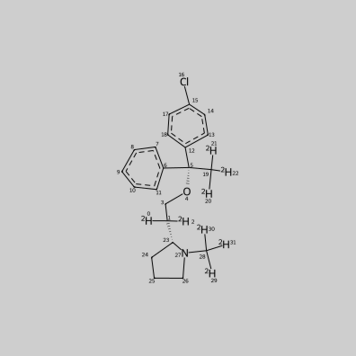 [2H]C([2H])(CO[C@](c1ccccc1)(c1ccc(Cl)cc1)C([2H])([2H])[2H])[C@H]1CCCN1C([2H])([2H])[2H]